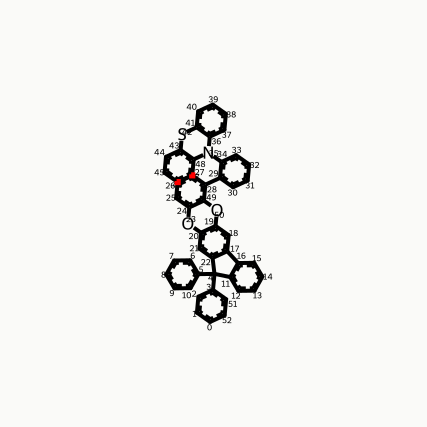 c1ccc(C2(c3ccccc3)c3ccccc3-c3cc4c(cc32)Oc2cccc(-c3ccccc3N3c5ccccc5Sc5ccccc53)c2O4)cc1